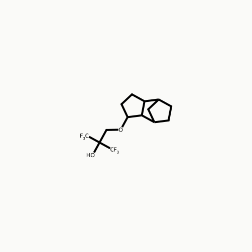 OC(COC1CCC2C3CCC(C3)C12)(C(F)(F)F)C(F)(F)F